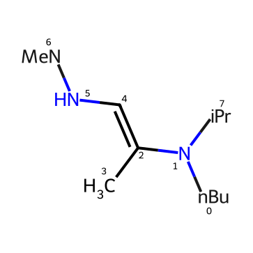 CCCCN(/C(C)=C/NNC)C(C)C